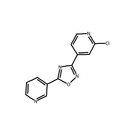 Clc1cc(-c2noc(-c3cccnc3)n2)ccn1